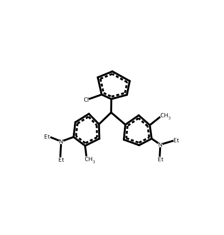 CCN(CC)c1ccc(C(c2ccc(N(CC)CC)c(C)c2)c2ccccc2Cl)cc1C